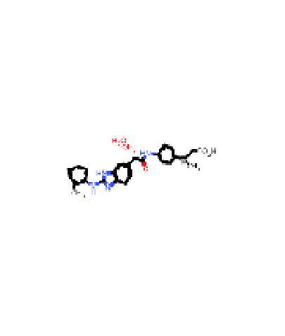 Cc1ccccc1Nc1nc2ccc(CC(=O)Nc3ccc([C@H](C)CC(=O)O)cc3)cc2[nH]1.O.O